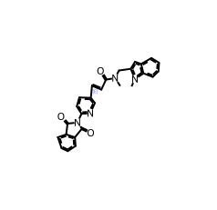 CN(Cc1cc2ccccc2n1C)C(=O)/C=C/c1ccc(N2C(=O)c3ccccc3C2=O)nc1